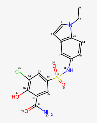 CCn1ccc2cc(NS(=O)(=O)c3cc(Cl)c(O)c(C(N)=O)c3)ccc21